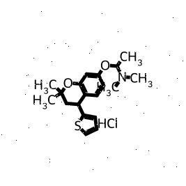 CC(Oc1ccc2c(c1)OC(C)(C)CC2c1cccs1)N(C)C.Cl